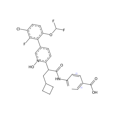 C=C(/C=C\C(=C/C)C(=O)O)NC(=O)C(CC1CCC1)c1ccc(-c2c(OC(F)F)ccc(Cl)c2F)c[n+]1O